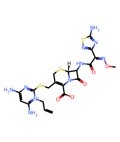 C=CC[n+]1c(N)cc(N)nc1SCC1=C(C(=O)[O-])N2C(=O)C(NC(=O)/C(=N\OC)c3nsc(N)n3)[C@H]2SC1